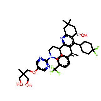 C[C@@H](c1ccc(C(F)(F)F)cc1)c1c(C2CCN(c3ncc(OCC(C)(CO)CO)cn3)CC2)nc2c(c1C1CCC(F)(F)CC1)[C@@H](O)CC(C)(C)C2